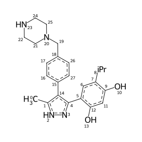 Cc1[nH]nc(-c2cc(C(C)C)c(O)cc2O)c1-c1ccc(CN2CCNCC2)cc1